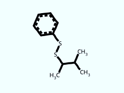 CC(C)C(C)SSc1ccccc1